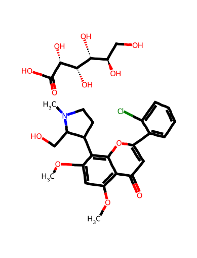 COc1cc(OC)c2c(=O)cc(-c3ccccc3Cl)oc2c1C1CCN(C)C1CO.O=C(O)[C@H](O)[C@@H](O)[C@H](O)[C@H](O)CO